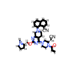 C=CC(=O)N1CCN(c2nc(OC[C@@H]3CCCN3C)nc3c2CCN(c2cccc4cccc(C#N)c24)C3)C[C@@H]1CC#N